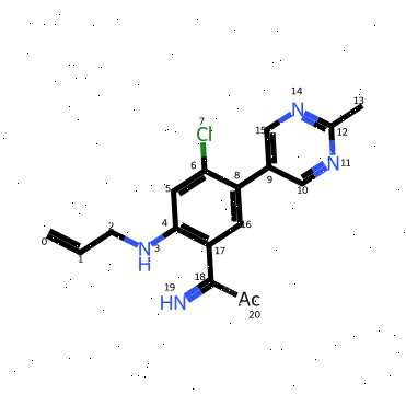 C=CCNc1cc(Cl)c(-c2cnc(C)nc2)cc1C(=N)C(C)=O